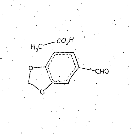 CC(=O)O.O=Cc1ccc2c(c1)OCO2